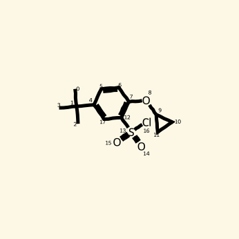 CC(C)(C)c1ccc(OC2CC2)c(S(=O)(=O)Cl)c1